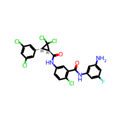 Nc1cc(F)cc(NC(=O)c2cc(NC(=O)[C@H]3[C@H](c4cc(Cl)cc(Cl)c4)C3(Cl)Cl)ccc2Cl)c1